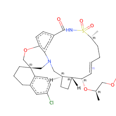 COC[C@@H](C)O[C@H]1/C=C/CC[C@@H](C)S(=O)(=O)NC(=O)c2ccc3c(c2)N(C[C@@H]2CC[C@H]21)C[C@@]1(CCCc2cc(Cl)ccc21)CO3